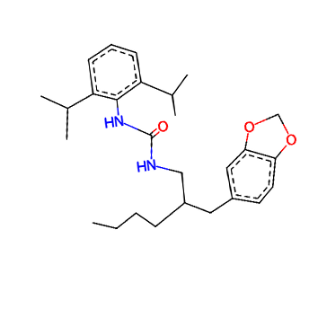 CCCCC(CNC(=O)Nc1c(C(C)C)cccc1C(C)C)Cc1ccc2c(c1)OCO2